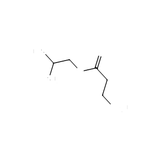 NC(N)COC(=O)CCC(=O)O